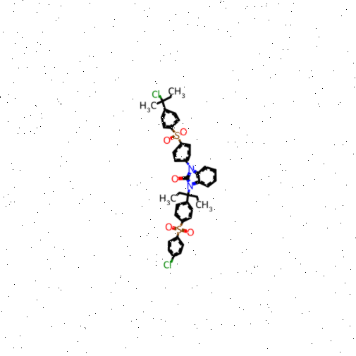 CCC(C)(Cl)c1ccc(S(=O)(=O)c2ccc(-n3c(=O)n(C(CC)(CC)c4ccc(S(=O)(=O)c5ccc(Cl)cc5)cc4)c4ccccc43)cc2)cc1